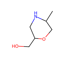 CC1COC(CO)CN1